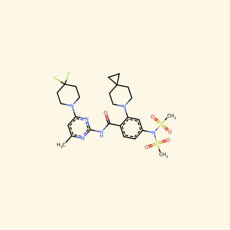 Cc1cc(N2CCC(F)(F)CC2)nc(NC(=O)c2ccc(N(S(C)(=O)=O)S(C)(=O)=O)cc2N2CCC3(CC2)CC3)n1